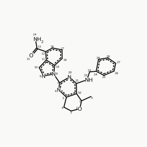 CC1OCCc2nc(-n3ncc4c(C(N)=O)cccc43)nc(NCc3ccccc3)c21